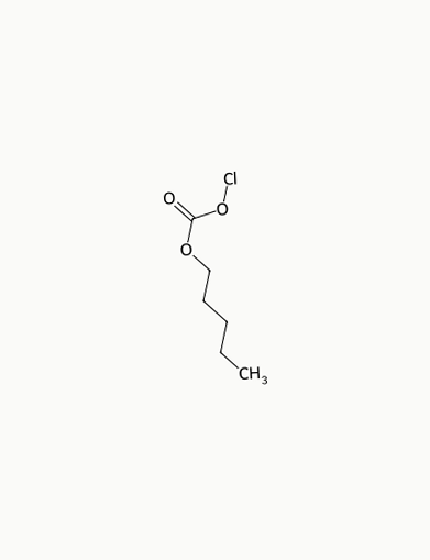 CCCCCOC(=O)OCl